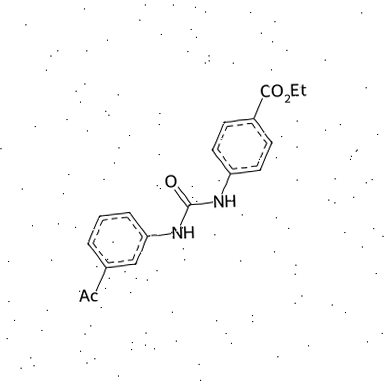 CCOC(=O)c1ccc(NC(=O)Nc2cccc(C(C)=O)c2)cc1